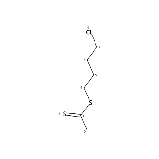 CC(=S)SCCCCCl